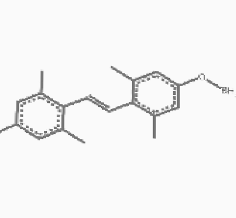 BOc1cc(C)c(C=Cc2c(C)cc(C)cc2C)c(C)c1